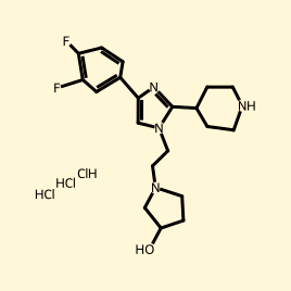 Cl.Cl.Cl.OC1CCN(CCn2cc(-c3ccc(F)c(F)c3)nc2C2CCNCC2)C1